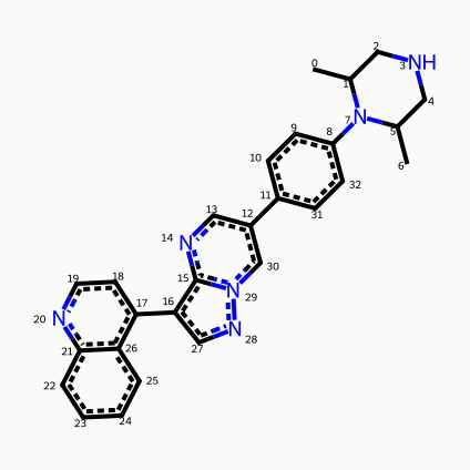 CC1CNCC(C)N1c1ccc(-c2cnc3c(-c4ccnc5ccccc45)cnn3c2)cc1